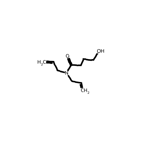 C=CCN(CC=C)C(=O)CCCO